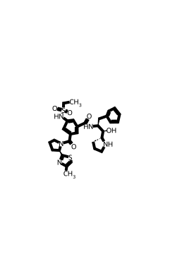 CCS(=O)(=O)Nc1cc(C(=O)N[C@@H](Cc2ccccc2)[C@H](O)[C@H]2CCCN2)cc(C(=O)N2CCC[C@@H]2c2nc(C)cs2)c1